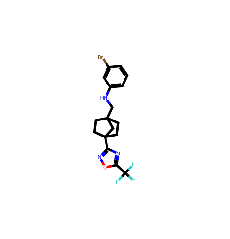 FC(F)(F)c1nc(C23CCC(CNc4cccc(Br)c4)(CC2)C3)no1